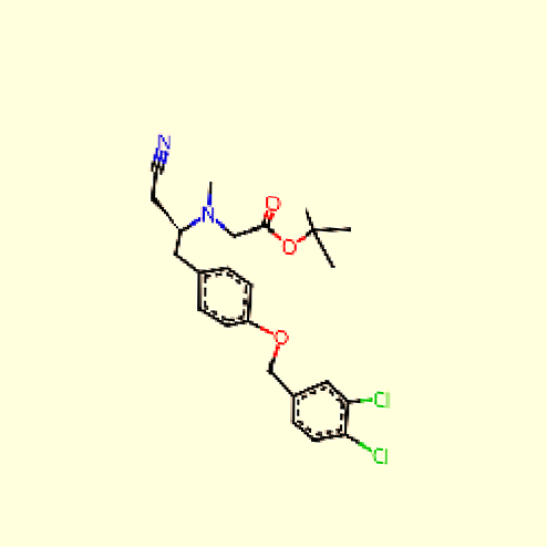 CN(CC(=O)OC(C)(C)C)[C@H](CC#N)Cc1ccc(OCc2ccc(Cl)c(Cl)c2)cc1